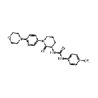 O=C(Nc1ccc(C(F)(F)F)cc1)N[C@@H]1CCCN(c2ccc(N3CCOCC3)nc2)C1=O